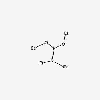 CCOP(OCC)N(C(C)C)C(C)C